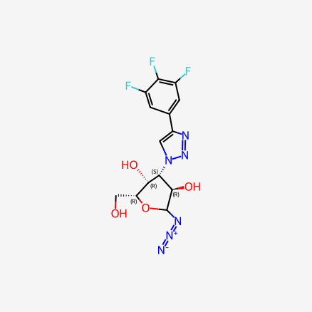 [N-]=[N+]=NC1O[C@H](CO)[C@H](O)[C@H](n2cc(-c3cc(F)c(F)c(F)c3)nn2)[C@H]1O